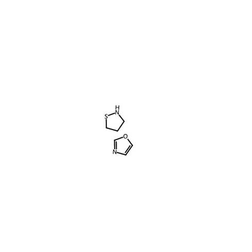 C1CNSC1.c1cocn1